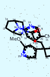 COc1cc(C2(CCC(=O)N3CC4CCC(C3)N4c3ccc(C#N)cn3)CCC2)ccn1